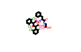 N[C@@H](Cc1ccccc1)C(=O)NCC(=O)O.O=C(O)C(C(=O)C(C(=O)O)c1c(Cl)cccc1Cl)c1c(Cl)cccc1Cl